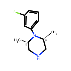 C[C@@H]1CNC[C@H](C)N1c1cccc(F)c1